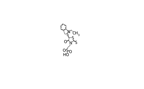 CCN1c2ccccc2CS1=C1SC(=S)N(CCS(=O)(=O)O)C1=O